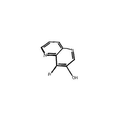 CC(C)c1c(O)cnc2cccnc12